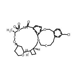 C[C@@H]1CO[C@@H]2CCO[C@@H](C2)[C@@H]2CC[C@H]2CN2CCCCc3cc(Cl)ccc3COc3ccc(cc32)C(=O)NS1(=O)=O